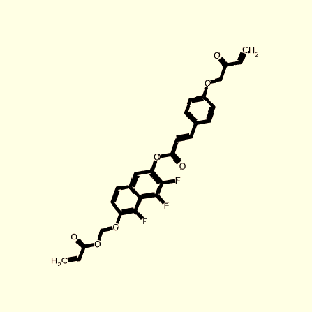 C=CC(=O)COc1ccc(/C=C/C(=O)Oc2cc3ccc(OCOC(=O)C=C)c(F)c3c(F)c2F)cc1